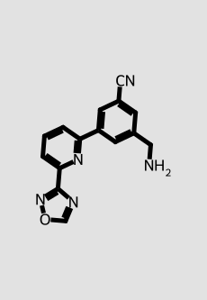 N#Cc1cc(CN)cc(-c2cccc(-c3ncon3)n2)c1